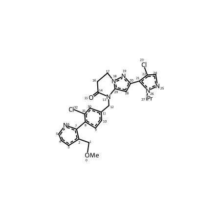 COCc1cccnc1-c1ccc(CN2C(=O)CCn3nc(-c4c(Cl)cnn4C(C)C)cc32)cc1Cl